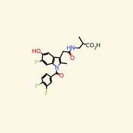 Cc1c(CC(=O)NCC(C)C(=O)O)c2cc(O)c(F)cc2n1C(=O)c1ccc(F)c(F)c1